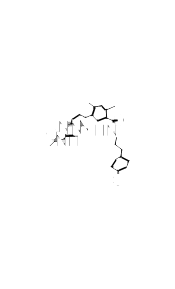 CC(=O)Nc1cn2nc(-c3cc(C(=O)NCCCc4ccc(Cl)cc4)c(C)cc3C)ccc2n1